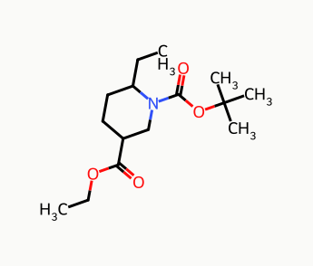 CCOC(=O)C1CCC(CC)N(C(=O)OC(C)(C)C)C1